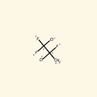 [CH2]C(F)(Cl)C(F)(F)Cl